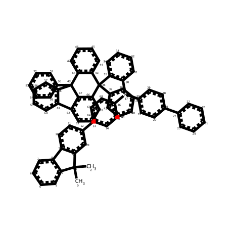 CC1(C)c2ccccc2-c2ccc(-c3ccc(N(c4ccc(-c5ccccc5)cc4)c4ccccc4C4(c5ccccc5)c5ccccc5C5(c6ccccc6)c6ccccc6-c6cccc4c65)cc3)cc21